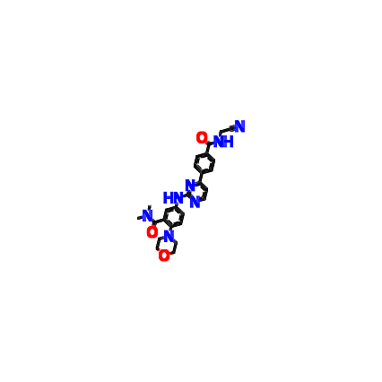 CN(C)C(=O)c1cc(Nc2nccc(-c3ccc(C(=O)NCC#N)cc3)n2)ccc1N1CCOCC1